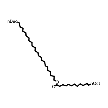 CCCCCCCCC=CCCCCCCCCCC(=O)OCCCCCCCCCCCCCCCCCCCCCCCCCCCCCCCCCC